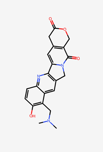 CN(C)Cc1c(O)ccc2nc3c(cc12)Cn1c-3cc2c(c1=O)COC(=O)C2